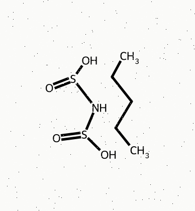 CCCCC.O=S(O)NS(=O)O